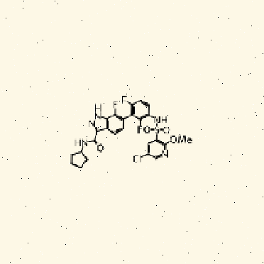 COc1ncc(Cl)cc1S(=O)(=O)Nc1ccc(F)c(-c2ccc3c(C(=O)NC4CCCC4)n[nH]c3c2F)c1F